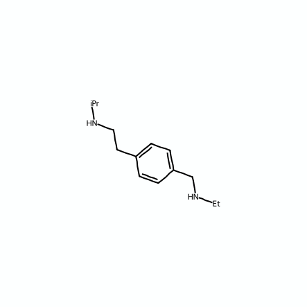 CCNCc1ccc(CCNC(C)C)cc1